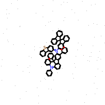 c1ccc(-c2cc3c(cc2N(c2ccc4c(c2)C2(c5ccccc5-c5ccccc52)c2ccccc2-4)c2ccc4sc5ccccc5c4c2)C2(c4ccccc4)c4ccccc4N(c4ccccc4)c4cccc-3c42)cc1